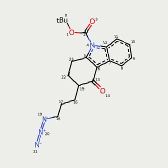 CC(C)(C)OC(=O)n1c2c(c3ccccc31)C(=O)C(CCCN=[N+]=[N-])CC2